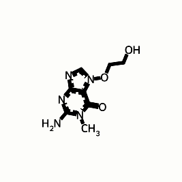 Cn1c(N)nc2ncn(OCCO)c2c1=O